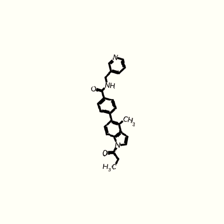 CCC(=O)n1ccc2c(C)c(-c3ccc(C(=O)NCc4cccnc4)cc3)ccc21